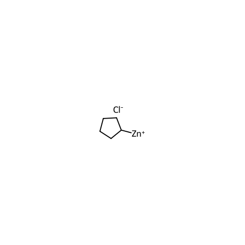 [Cl-].[Zn+][CH]1CCCC1